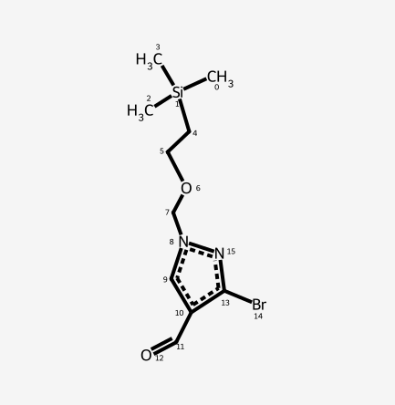 C[Si](C)(C)CCOCn1cc(C=O)c(Br)n1